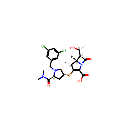 C[C@@H](O)[C@H]1C(=O)N2C(C(=O)O)=C(S[C@H]3C[C@@H](C(=O)N(C)C)N(Cc4cc(Cl)cc(Cl)c4)C3)[C@H](C)[C@H]12